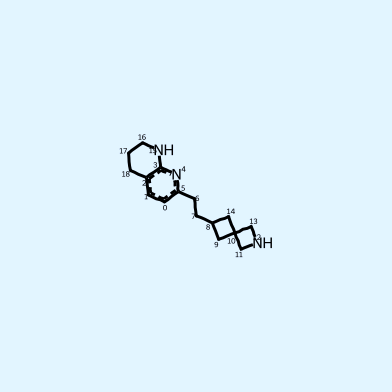 c1cc2c(nc1CCC1CC3(CNC3)C1)NCCC2